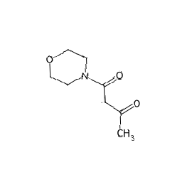 CC(=O)[CH]C(=O)N1CCOCC1